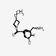 COC1CN(C(=O)c2cc(Cl)c(F)c(CN)c2)C1